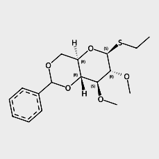 CCS[C@@H]1O[C@@H]2COC(c3ccccc3)O[C@H]2[C@H](OC)[C@H]1OC